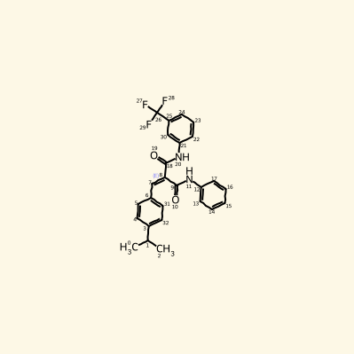 CC(C)c1ccc(/C=C(\C(=O)Nc2ccccc2)C(=O)Nc2cccc(C(F)(F)F)c2)cc1